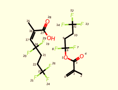 C=C(C)C(=O)OC(F)(F)CCC(F)(F)F.CC(=CC(F)(F)CCC(F)(F)F)C(=O)O